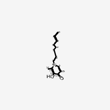 CCCCCCCCn1ccc(=O)c(O)c1C